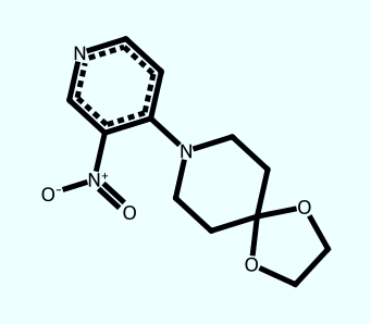 O=[N+]([O-])c1cnccc1N1CCC2(CC1)OCCO2